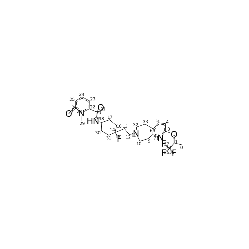 CC(Oc1ccc2c(n1)CCN(CCC1(F)CCC(NC(=O)c3cccc(=O)n3C)CC1)CC2)C(F)(F)F